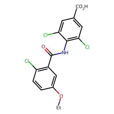 CCOc1ccc(Cl)c(C(=O)Nc2c(Cl)cc(C(=O)O)cc2Cl)c1